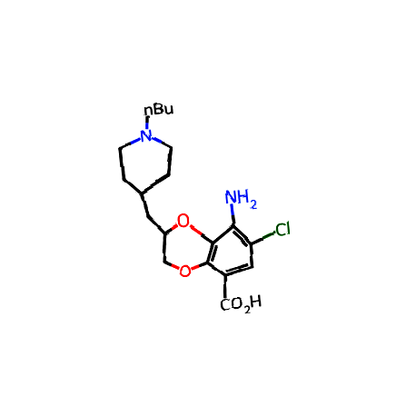 CCCCN1CCC(CC2COc3c(C(=O)O)cc(Cl)c(N)c3O2)CC1